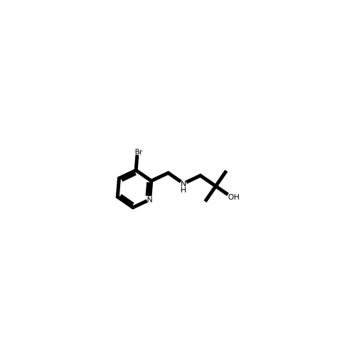 CC(C)(O)CNCc1ncccc1Br